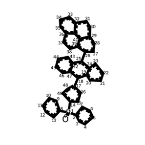 O=P(c1ccccc1)(c1ccccc1)c1ccc(-c2c3ccccc3c(-c3ccc4ccc5cccc6ccc3c4c56)c3ccccc23)cc1